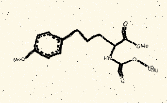 COC(=O)C(CCCc1ccc(OC)cc1)NC(=O)OC(C)(C)C